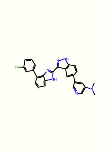 CN(C)c1cncc(-c2ccc3[nH]nc(-c4nc5c(-c6cccc(F)c6)cccc5[nH]4)c3c2)c1